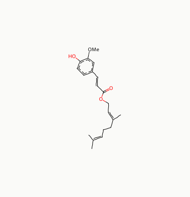 COc1cc(/C=C/C(=O)OC/C=C(\C)CCC=C(C)C)ccc1O